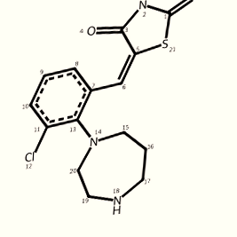 O=C1NC(=O)C(=Cc2cccc(Cl)c2N2CCCNCC2)S1